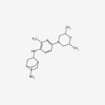 Cc1nc(N2CC(C)OC(C)C2)ccc1NC1CC2CCC1CC2N